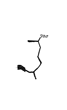 [C]#CC(C)CCCC(C)SC